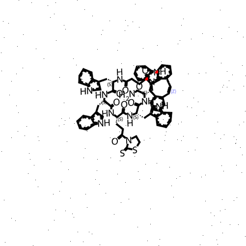 NC(=O)[C@H](Cc1c[nH]c2ccccc12)NC(=O)[C@H](Cc1c[nH]c2ccccc12)NC(=O)[C@H](CCC(=O)N1CCSC1=S)NC(=O)[C@H](Cc1c[nH]c2ccccc12)NC(=O)[C@H](Cc1c[nH]c2ccccc12)NC(=O)CCC(=O)N1Cc2ccccc2/C=C\c2ccccc21